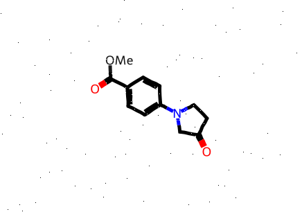 COC(=O)c1ccc(N2CCC(=O)C2)cc1